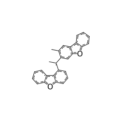 C[C](c1cc2oc3ccccc3c2cc1C)c1cccc2oc3ccccc3c12